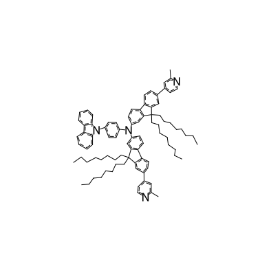 CCCCCCCCC1(CCCCCCCC)c2cc(-c3ccnc(C)c3)ccc2-c2ccc(N(c3ccc(-n4c5ccccc5c5ccccc54)cc3)c3ccc4c(c3)C(CCCCCCCC)(CCCCCCCC)c3cc(-c5ccnc(C)c5)ccc3-4)cc21